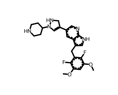 COc1cc(OC)c(F)c(Cc2c[nH]c3ncc(C4=CN(C5CCNCC5)NC4)cc23)c1F